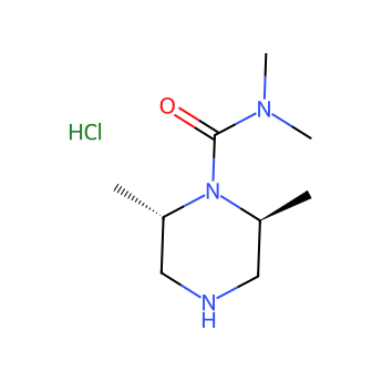 C[C@H]1CNC[C@H](C)N1C(=O)N(C)C.Cl